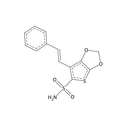 NS(=O)(=O)c1sc2c(c1C=Cc1ccccc1)OCO2